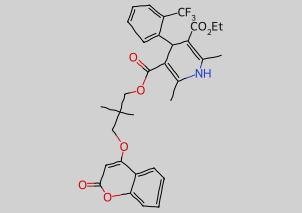 CCOC(=O)C1=C(C)NC(C)=C(C(=O)OCC(C)(C)COc2cc(=O)oc3ccccc23)C1c1ccccc1C(F)(F)F